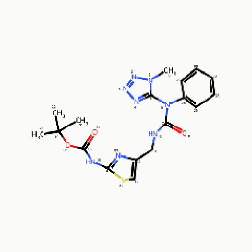 Cn1nnnc1N(C(=O)NCc1csc(NC(=O)OC(C)(C)C)n1)c1ccccc1